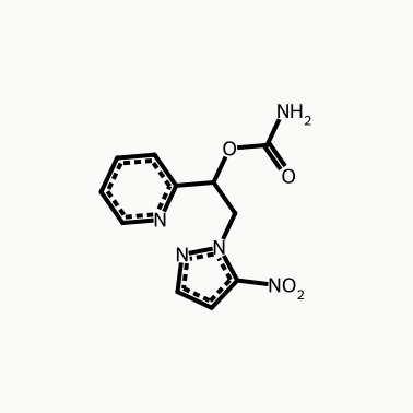 NC(=O)OC(Cn1nccc1[N+](=O)[O-])c1ccccn1